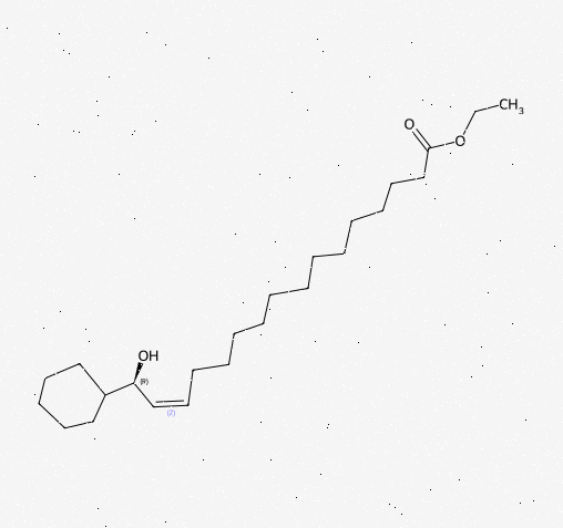 CCOC(=O)CCCCCCCCCCCC/C=C\[C@H](O)C1CCCCC1